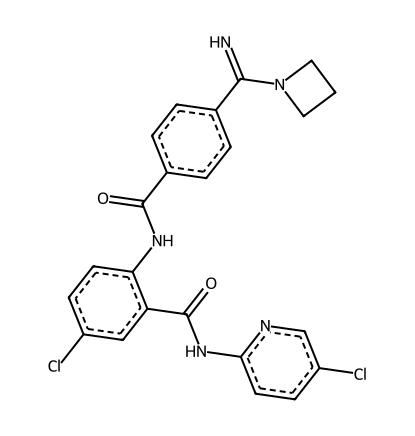 N=C(c1ccc(C(=O)Nc2ccc(Cl)cc2C(=O)Nc2ccc(Cl)cn2)cc1)N1CCC1